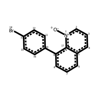 [O-][n+]1cccc2cccc(-c3ccc(Br)cc3)c21